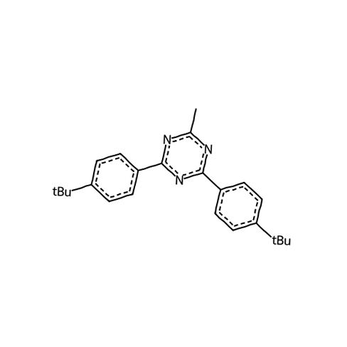 Cc1nc(-c2ccc(C(C)(C)C)cc2)nc(-c2ccc(C(C)(C)C)cc2)n1